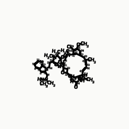 CNN(C)Cc1cc2cccnc2n1CCC(=O)N(C)[C@@H](C)C(=O)O[C@H]1CC(=O)N(C)c2cc(cc(OC)c2Cl)C/C(C)=C/C=C/[C@@H](OC)[C@@]2(O)C[C@H](OC(=O)N2)C2(C)C[C@@]1(C)O2